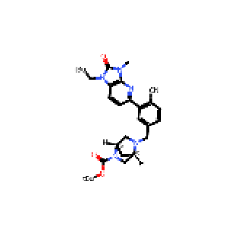 Cn1c(=O)n(CC(C)(C)C)c2ccc(-c3cc(CN4C[C@@H]5C[C@H]4CN5C(=O)OC(C)(C)C)ccc3C#N)nc21